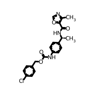 Cc1ncoc1C(=O)N[C@@H](C)c1ccc(NC(=O)OCc2ccc(Cl)cc2)cc1